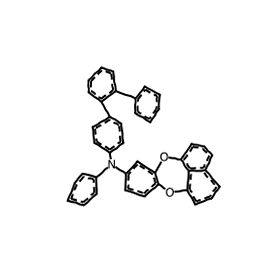 c1ccc(-c2ccccc2-c2ccc(N(c3ccccc3)c3ccc4c(c3)Oc3cccc5cccc(c35)O4)cc2)cc1